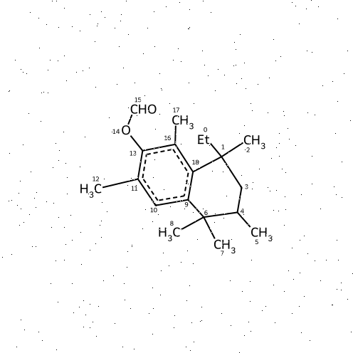 CCC1(C)CC(C)C(C)(C)c2cc(C)c(OC=O)c(C)c21